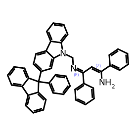 N/C(=C\C(=N/Cn1c2ccccc2c2ccc(C3(c4ccccc4)c4ccccc4-c4ccccc43)cc21)c1ccccc1)c1ccccc1